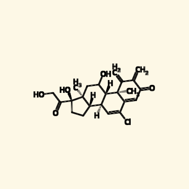 C=C1C(=C)[C@@]2(C)C(=CC1=O)C(Cl)=C[C@@H]1[C@@H]2C(O)C[C@@]2(C)[C@H]1CC[C@]2(O)C(=O)CO